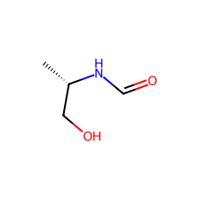 C[C@@H](CO)NC=O